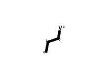 CC[CH2][V]